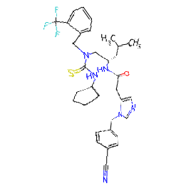 CC(C)C[C@@H](CN(Cc1ccccc1C(F)(F)F)C(=S)NC1CCCC1)NC(=O)Cc1cncn1Cc1ccc(C#N)cc1